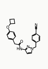 N#Cc1ccc(Cn2ccc(NC(=O)Cc3ccc(OC4CCC4)cc3)n2)cc1